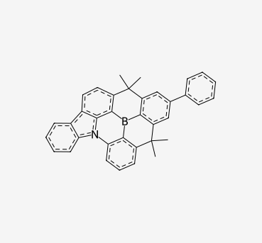 CC1(C)c2cccc3c2B2c4c1cc(-c1ccccc1)cc4C(C)(C)c1ccc4c5ccccc5n-3c4c12